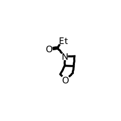 CCC(=O)N1CC2COCC21